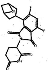 O=C1CCC(N2C(=O)c3c(F)cc(F)c(C4CC5CC(C4)N5)c3C2=O)C(=O)N1